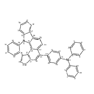 c1ccc(N(c2ccccc2)c2ccc(-c3cc4sccc4c4c3ccc3c5ccccc5n(-c5ccccc5)c34)cc2)cc1